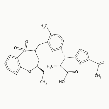 CC[C@@H]1CN(Cc2cc([C@H](c3ccc(C(C)=O)s3)[C@@H](C)C(=O)O)ccc2C)S(=O)(=O)c2ccccc2O1